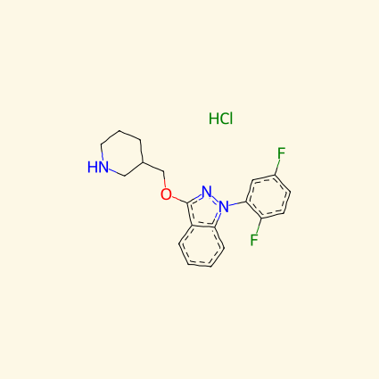 Cl.Fc1ccc(F)c(-n2nc(OCC3CCCNC3)c3ccccc32)c1